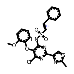 COc1ccccc1Oc1c(Cl)nc(-c2csc(C)n2)nc1NS(=O)(=O)/C=C/c1ccccc1